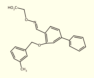 Cc1cccc(COc2cc(-c3ccccc3)ccc2C=NOCC(=O)O)c1